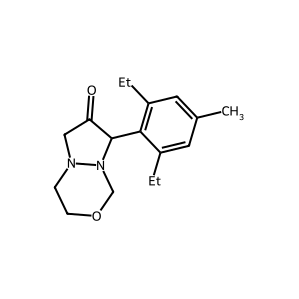 CCc1cc(C)cc(CC)c1C1C(=O)CN2CCOCN12